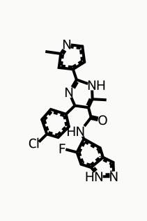 CC1=C(C(=O)Nc2cc3cn[nH]c3cc2F)C(c2ccc(Cl)cc2)N=C(c2ccnc(C)c2)N1